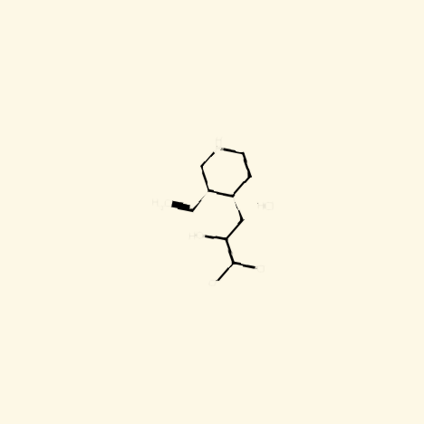 C=C[C@H]1CNCC[C@H]1CC(O)C(Cl)Cl.Cl